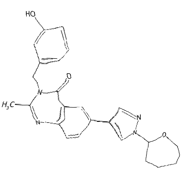 Cc1nc2ccc(-c3cnn(C4CCCCO4)c3)cc2c(=O)n1Cc1cccc(O)c1